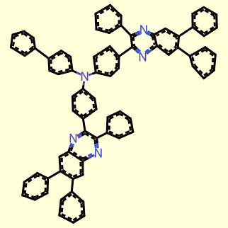 c1ccc(-c2ccc(N(c3ccc(-c4nc5cc(-c6ccccc6)c(-c6ccccc6)cc5nc4-c4ccccc4)cc3)c3ccc(-c4nc5cc(-c6ccccc6)c(-c6ccccc6)cc5nc4-c4ccccc4)cc3)cc2)cc1